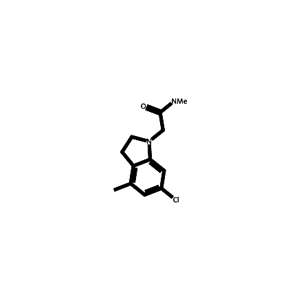 CNC(=O)CN1CCc2c(C)cc(Cl)cc21